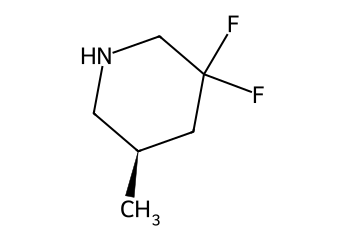 C[C@H]1CNCC(F)(F)C1